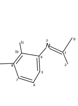 CC(C)=Nc1cccc(C)c1C